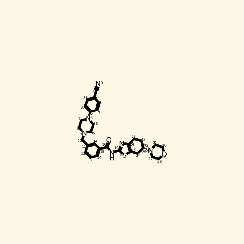 N#Cc1ccc(N2CCN(Cc3cccc(C(=O)Nc4nc5c(s4)C[C@@H](N4CCOCC4)CC5)c3)CC2)cc1